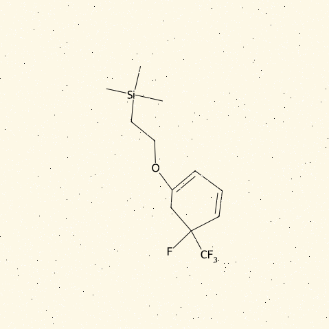 C[Si](C)(C)CCOC1=CC=CC(F)(C(F)(F)F)C1